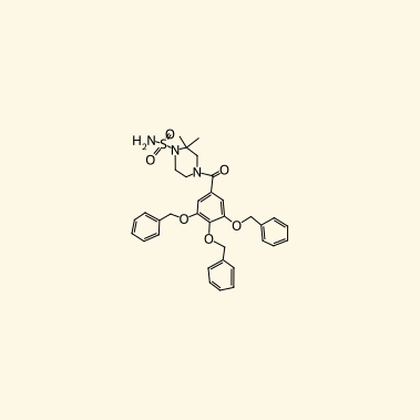 CC1(C)CN(C(=O)c2cc(OCc3ccccc3)c(OCc3ccccc3)c(OCc3ccccc3)c2)CCN1S(N)(=O)=O